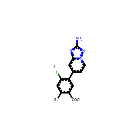 CCc1cc(F)c(-c2ccn3nc(N)nc3c2)cc1C(=O)[O-].[Li+]